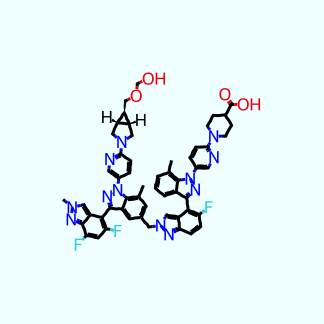 Cc1cccc2c(-c3c(F)ccc4nn(Cc5cc(C)c6c(c5)c(-c5c(F)cc(F)c7nn(C)cc57)nn6-c5ccc(N6C[C@@H]7[C@@H](COCO)[C@@H]7C6)nc5)cc34)nn(-c3ccc(N4CCC(C(=O)O)CC4)nc3)c12